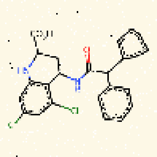 O=C(O)C1CC(NC(=O)C(c2ccccc2)c2ccccc2)c2c(Cl)cc(Cl)cc2N1